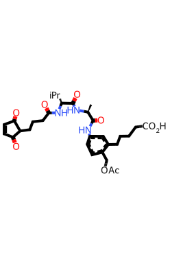 CC(=O)OCc1ccc(NC(=O)[C@H](C)NC(=O)[C@@H](NC(=O)CCCC2C(=O)C=CC2=O)C(C)C)cc1CCCCC(=O)O